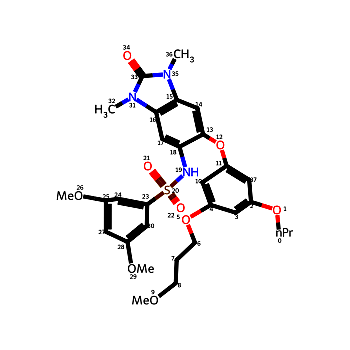 CCCOc1cc(OCCCOC)cc(Oc2cc3c(cc2NS(=O)(=O)c2cc(OC)cc(OC)c2)n(C)c(=O)n3C)c1